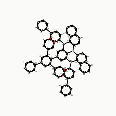 c1ccc(-c2ccc(N3c4cc(-c5c(-c6ccccc6)cc(-c6ccccc6)cc5-c5ccccc5)cc5c4B(c4ccc6ccccc6c43)c3ccc4ccccc4c3N5c3ccc(-c4ccccc4)cc3)cc2)cc1